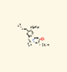 COc1cc2c(cc1CCC1CC1)CC1(CCC1)n1cc(C(=O)O)c(=O)cc1-2